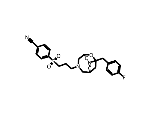 N#Cc1ccc(S(=O)(=O)CCCN2CC3CCOC(C2)CN(Cc2ccc(F)cc2)C3)cc1